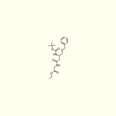 CCOC(=O)CNC(=O)CC(COCc1ccccc1)NC(=O)OC(C)(C)C